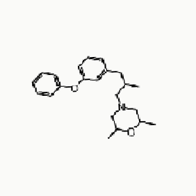 CC(Cc1cccc(Oc2ccccc2)c1)CN1CC(C)OC(C)C1